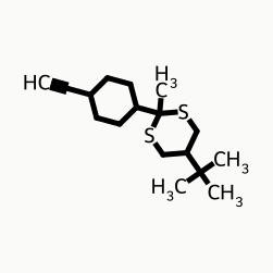 C#CC1CCC(C2(C)SCC(C(C)(C)C)CS2)CC1